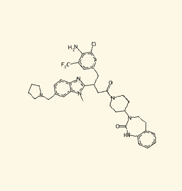 Cn1c(C(CC(=O)N2CCC(N3CCc4ccccc4NC3=O)CC2)Cc2cc(Cl)c(N)c(C(F)(F)F)c2)nc2ccc(CN3CCCC3)cc21